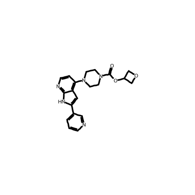 O=C(OC1COC1)N1CCN(c2ccnc3[nH]c(-c4cccnc4)cc23)CC1